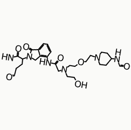 CNC(=O)C(CCC=O)N1Cc2c(NC(=O)CN(CCO)CCOCCN3CCC(NC=O)CC3)cccc2C1=O